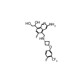 Nc1cc2c(CN[C@H]3C[C@H](Oc4ccc(F)c(C(F)(F)F)c4)C3)c(F)cc(C(O)CO)c2cn1